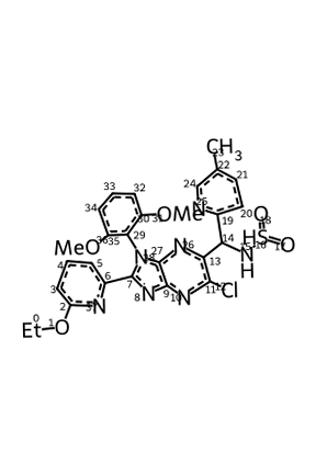 CCOc1cccc(-c2nc3nc(Cl)c(C(N[SH](=O)=O)c4ccc(C)cn4)nc3n2-c2c(OC)cccc2OC)n1